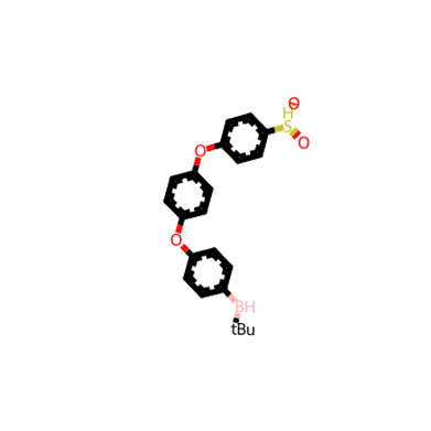 CC(C)(C)Bc1ccc(Oc2ccc(Oc3ccc([SH](=O)=O)cc3)cc2)cc1